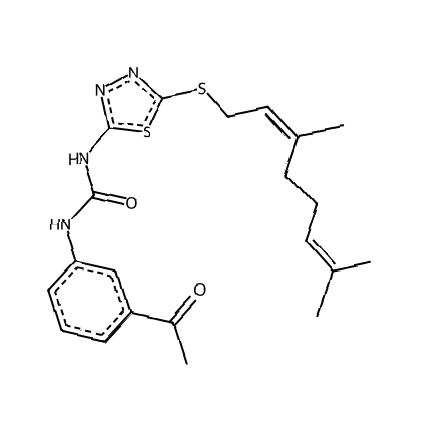 CC(=O)c1cccc(NC(=O)Nc2nnc(SCC=C(C)CCC=C(C)C)s2)c1